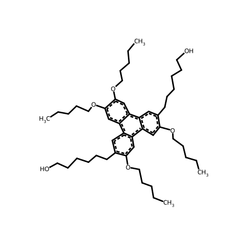 CCCCCOc1cc2c(cc1CCCCCCO)c1cc(OCCCCC)c(OCCCCC)cc1c1cc(CCCCCCO)c(OCCCCC)cc12